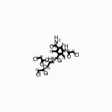 NC(=O)c1c(I)c(NC(=O)CCl)c(I)c(C(=O)NCC(COC(=O)CCl)OC(=O)CCl)c1I